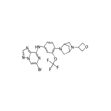 FC(F)(F)Oc1cc(Nc2nc(Br)cn3ncnc23)ccc1N1CC2CC1CN2C1COC1